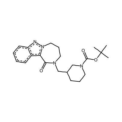 CC(C)(C)OC(=O)N1CCCC(CN2CCCn3nc4ccccc4c3C2=O)C1